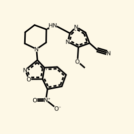 COc1nc(N[C@@H]2CCCN(c3noc4c([N+](=O)[O-])cccc34)C2)ncc1C#N